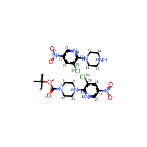 CC(C)(C)OC(=O)N1CCN(c2ncc([N+](=O)[O-])cc2Cl)CC1.O=[N+]([O-])c1cnc(N2CCNCC2)c(Cl)c1